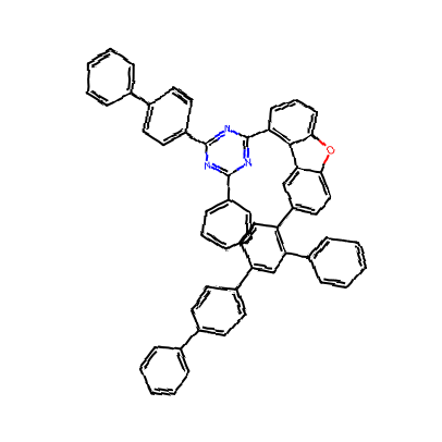 c1ccc(-c2ccc(-c3ccc(-c4ccc5oc6cccc(-c7nc(-c8ccccc8)nc(-c8ccc(-c9ccccc9)cc8)n7)c6c5c4)c(-c4ccccc4)c3)cc2)cc1